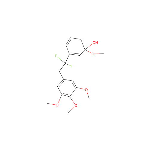 COc1cc(CC(F)(F)C2=CC(O)(OC)CC=C2)cc(OC)c1OC